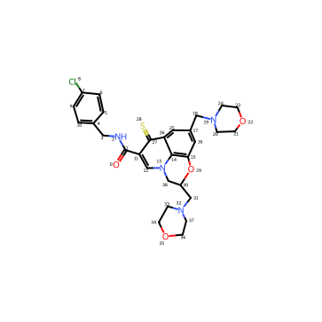 O=C(NCc1ccc(Cl)cc1)c1cn2c3c(cc(CN4CCOCC4)cc3c1=S)OC(CN1CCOCC1)C2